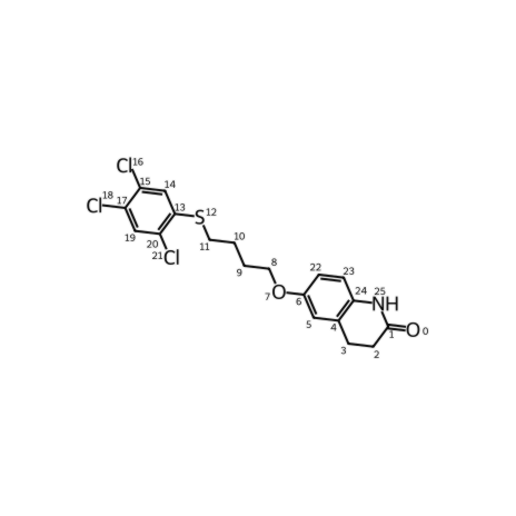 O=C1CCc2cc(OCCCCSc3cc(Cl)c(Cl)cc3Cl)ccc2N1